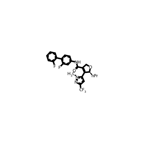 CCC[C@@H]1OCC(C(=O)Nc2ccc(-c3ccccc3F)c(F)c2)=C1c1cc(C(F)(F)F)nn1C